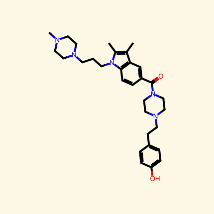 Cc1c(C)n(CCCN2CCN(C)CC2)c2ccc(C(=O)N3CCN(CCc4ccc(O)cc4)CC3)cc12